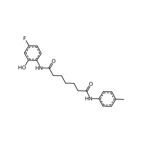 Cc1ccc(NC(=O)CCCCCC(=O)Nc2ccc(F)cc2O)cc1